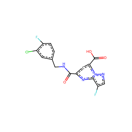 O=C(NCc1ccc(F)c(Cl)c1)c1cc(C(=O)O)n2ncc(F)c2n1